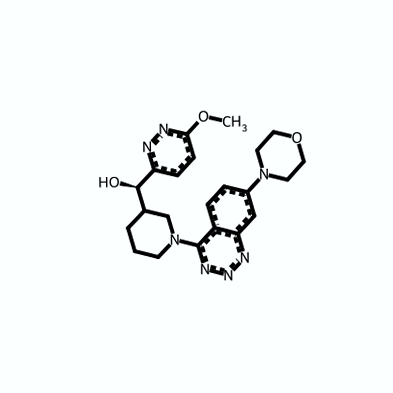 COc1ccc([C@H](O)C2CCCN(c3nnnc4cc(N5CCOCC5)ccc34)C2)nn1